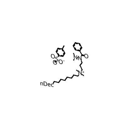 CCCCCCCCCCCCCCCCCC[N+](C)(C)CCCN(C(=O)c1ccccc1)N(C)C.Cc1ccc(S(=O)(=O)[O-])cc1